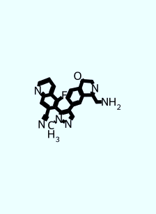 Cn1ncc(-c2ccc3c(c2)C(CN)=NCC3=O)c1-c1c(C#N)cc2ncccc2c1F